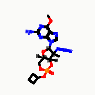 COc1nc(N)nc2c1ncn2[C@@H]1O[C@@H]2COP(=O)(OC3CCC3)O[C@H]2[C@@]1(C)N=[N+]=[N-]